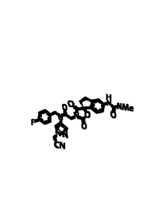 CNC(=O)Nc1ccc2c(c1)CC[C@@]21OC(=O)N(CC(=O)N(Cc2ccc(F)cc2)c2cnn(CC#N)c2)C1=O